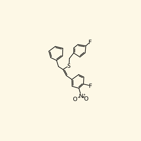 O=[N+]([O-])c1cc(C=C(Cc2ccccc2)SCc2ccc(F)cc2)ccc1F